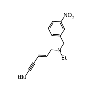 CCN(CC=CC#CC(C)(C)C)Cc1cccc([N+](=O)[O-])c1